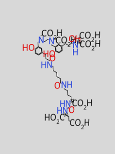 O=C(O)CC[C@H](NC(=O)N[C@@H](CCCCNC(=O)CCCCCNC(=O)CCc1ccc(O)c(CN(CCN(CC(=O)O)Cc2cc(CCC(O)N[C@@H](CC(=O)O)C(=O)O)ccc2O)CC(=O)O)c1)C(=O)O)C(=O)O